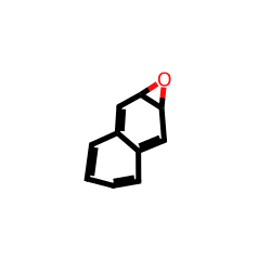 C1=c2ccccc2=CC2OC12